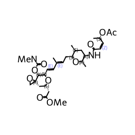 CNC(=O)O[C@@H]1[C@@H](/C=C/C(C)=C/C[C@@H]2O[C@H](C)[C@H](NC(=O)/C=C\[C@H](C)OC(C)=O)C[C@@H]2C)O[C@H](CC(=O)OC)C[C@@]12CO2